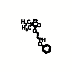 CCC(C)(C)C(=O)OCCPOc1ccccc1